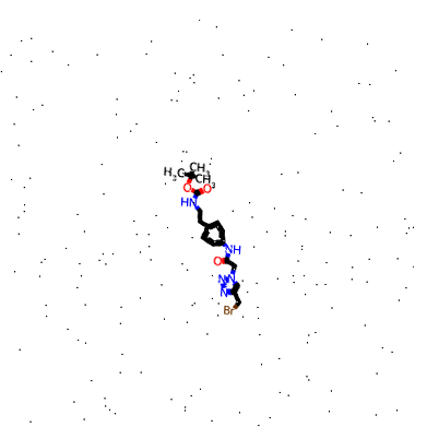 CC(C)(C)OC(=O)NCCc1ccc(NC(=O)Cn2cc(CBr)nn2)cc1